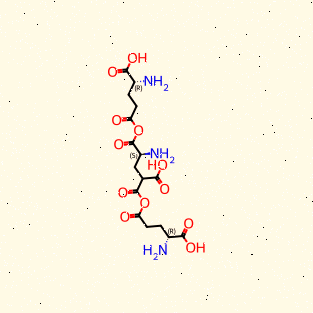 N[C@H](CCC(=O)OC(=O)C(C[C@H](N)C(=O)OC(=O)CC[C@@H](N)C(=O)O)C(=O)O)C(=O)O